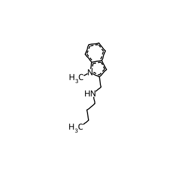 CCCCNCc1cc2ccccc2n1C